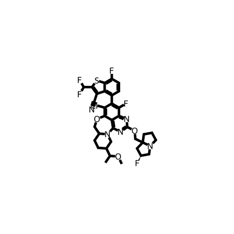 COC(C)C1CCC2COc3c(Cl)c(-c4ccc(F)c5sc(C(F)F)c(C#N)c45)c(F)c4nc(OCC56CCCN5C[C@H](F)C6)nc(c34)N2C1